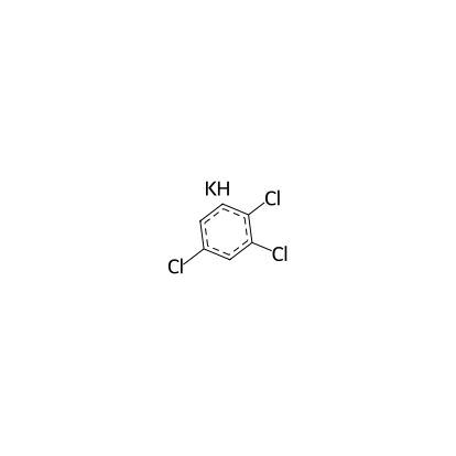 Clc1ccc(Cl)c(Cl)c1.[KH]